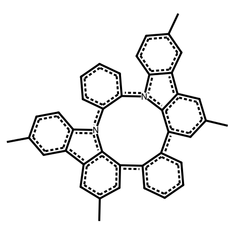 Cc1ccc2c(c1)c1cc(C)cc3c4ccccc4c4cc(C)cc5c6cc(C)ccc6n(c6ccccc6n2c31)c45